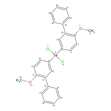 COc1ccc([Te](Cl)(Cl)c2ccc(OC)c(-c3ccccc3)c2)cc1-c1ccccc1